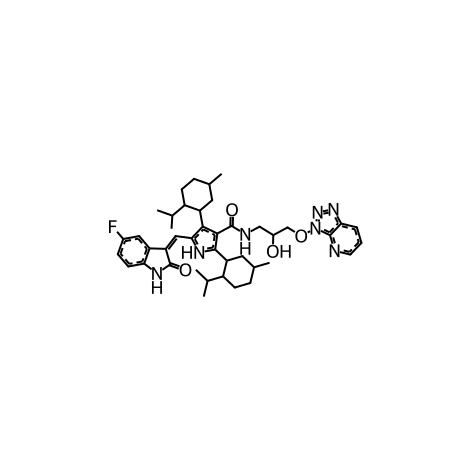 CC1CCC(C(C)C)C(c2[nH]c(/C=C3\C(=O)Nc4ccc(F)cc43)c(C3CC(C)CCC3C(C)C)c2C(=O)NCC(O)COn2nnc3cccnc32)C1